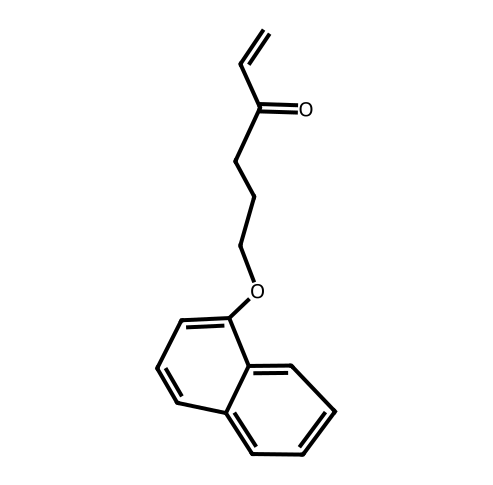 C=CC(=O)CCCOc1cccc2ccccc12